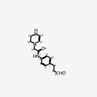 O=CCCc1ccc(NC(=O)CN2C=CNCC2)cc1